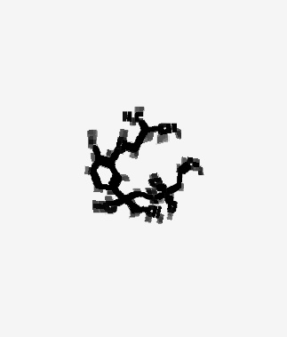 C=CCS(=O)(=O)NCC(O)(CC)c1ccc(F)c(OCC(C)C)c1